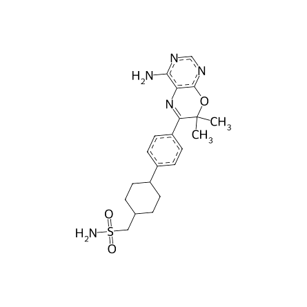 CC1(C)Oc2ncnc(N)c2N=C1c1ccc(C2CCC(CS(N)(=O)=O)CC2)cc1